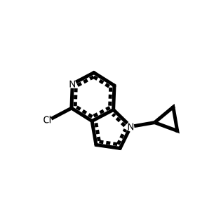 Clc1nccc2c1ccn2C1CC1